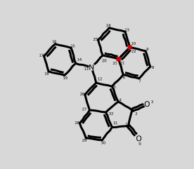 O=C1C(=O)c2c(-c3ccccc3)c(N(c3ccccc3)c3ccccc3)cc3cccc1c23